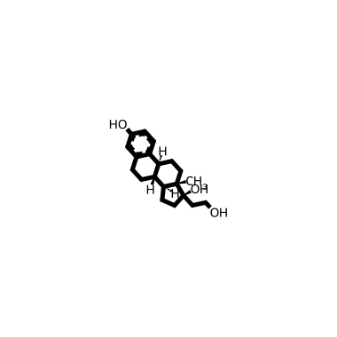 C[C@]12CC[C@@H]3c4ccc(O)cc4CC[C@H]3[C@@H]1CC[C@@]2(O)CCO